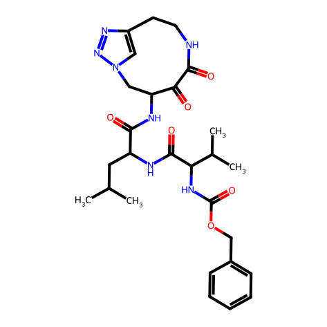 CC(C)CC(NC(=O)C(NC(=O)OCc1ccccc1)C(C)C)C(=O)NC1Cn2cc(nn2)CCNC(=O)C1=O